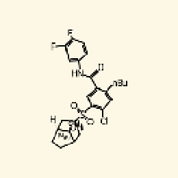 CCCCc1cc(Cl)c(S(=O)(=O)C2CC3CC[C@@H](C2)[C@]3(C)O)cc1C(=O)Nc1ccc(F)c(F)c1